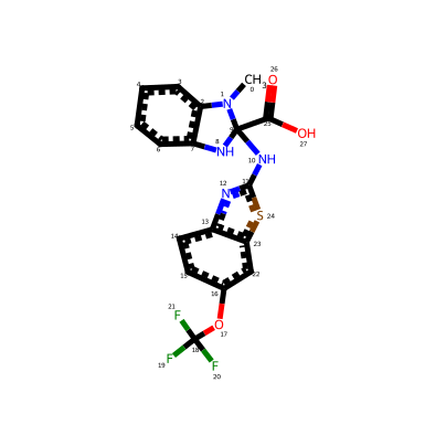 CN1c2ccccc2NC1(Nc1nc2ccc(OC(F)(F)F)cc2s1)C(=O)O